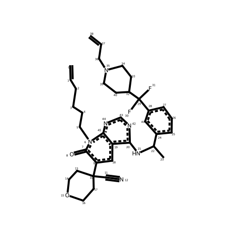 C=CCCCCn1c(=O)c(C2(C#N)CCOCC2)cc2c(NC(C)c3cccc(C(F)(F)C4CCN(CC=C)CC4)c3)ncnc21